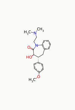 COc1ccc([C@H]2Cc3ccccc3N(CCN(C)C)C(=O)[C@@H]2O)cc1